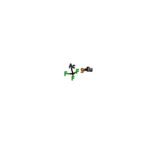 CC(=O)C(F)(F)F.[S]=[Eu]